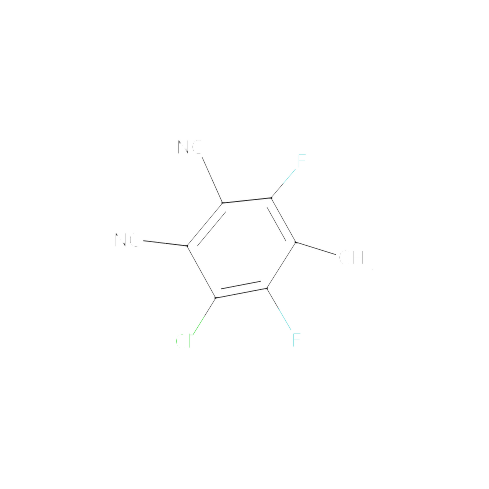 Cc1c(F)c(Cl)c(C#N)c(C#N)c1F